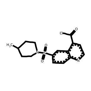 CC1CCN(S(=O)(=O)c2ccc3nccc(C(=O)Cl)c3c2)CC1